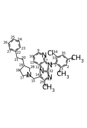 Cc1cc(C)c(-n2c3ncccc3n3c(CN4CCC(CCc5ccccc5)C4)c(C)nc23)c(Cl)c1